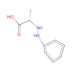 C[C@H](NNc1ccccc1)C(=O)O